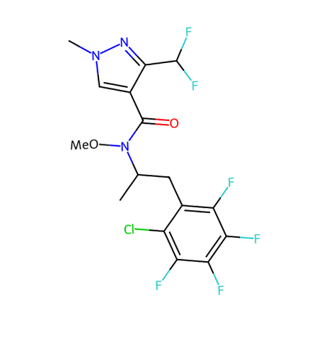 CON(C(=O)c1cn(C)nc1C(F)F)C(C)Cc1c(F)c(F)c(F)c(F)c1Cl